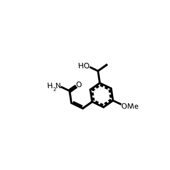 COc1cc(/C=C\C(N)=O)cc(C(C)O)c1